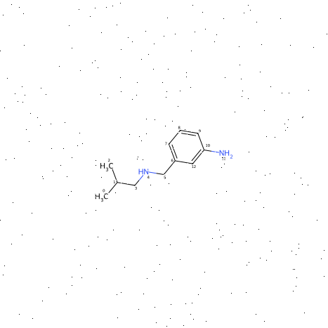 CC(C)CNCc1cccc(N)c1